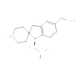 CC(C)(C)[S+]([O-])N[C@@H]1c2ccc(CO)cc2CC12CCNCC2